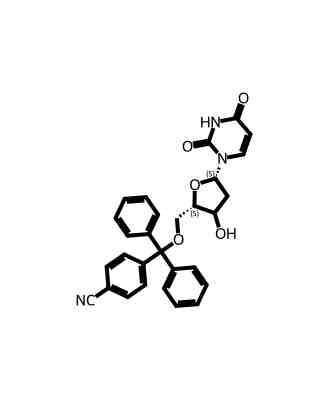 N#Cc1ccc(C(OC[C@@H]2O[C@H](n3ccc(=O)[nH]c3=O)CC2O)(c2ccccc2)c2ccccc2)cc1